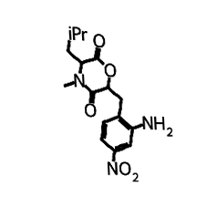 CC(C)CC1C(=O)OC(Cc2ccc([N+](=O)[O-])cc2N)C(=O)N1C